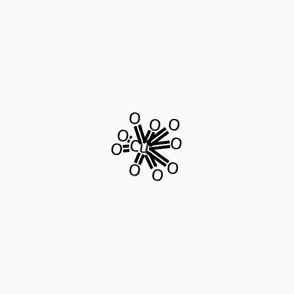 [O]=[Cu](=[O])(=[O])(=[O])(=[O])(=[O])(=[O])(=[O])=[O]